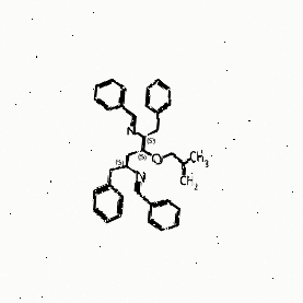 C=C(C)CO[C@@H](C[C@H](Cc1ccccc1)N=Cc1ccccc1)[C@H](Cc1ccccc1)N=Cc1ccccc1